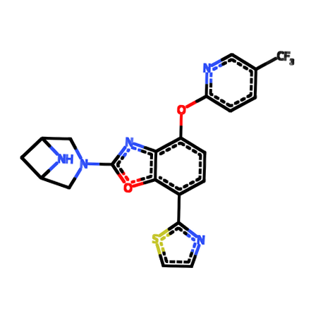 FC(F)(F)c1ccc(Oc2ccc(-c3nccs3)c3oc(N4CC5CC(C4)N5)nc23)nc1